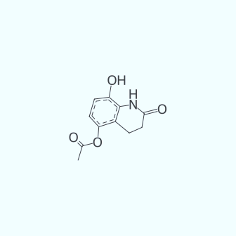 CC(=O)Oc1ccc(O)c2c1CCC(=O)N2